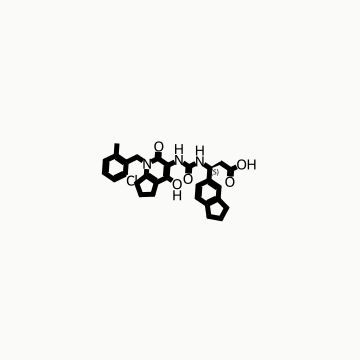 Cc1cccc(Cl)c1Cn1c2c(c(O)c(NC(=O)N[C@@H](CC(=O)O)c3ccc4c(c3)CCC4)c1=O)CCC2